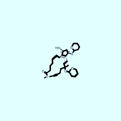 CC#CCCC(C)(/C=C/[C@@H]1[C@@H](C/C=C\CCCC(=O)OC)[C@@H](O)C[C@H]1OC1CCCCO1)OC1CCCCO1